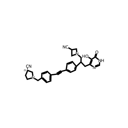 N#CC1CN(CC(Cc2nc[nH]c(=O)c2O)c2ccc(C#Cc3ccc(CN4CC[C@H](C#N)C4)cc3)cc2)C1